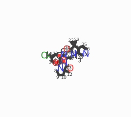 CC(C)(C)OC(=O)N1CCCC12COC2n1c(CN2C(=O)C3(CC3)c3ccncc32)nc2cc(Cl)ccc21